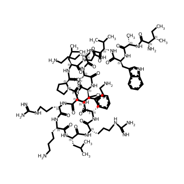 CC[C@H](C)[C@H](N)C(=O)N[C@@H](C)C(=O)N[C@@H](Cc1c[nH]c2ccccc12)C(=O)N[C@H](C(=O)N[C@@H](CCCCN)C(=O)N[C@@H](C)C(=O)N[C@@H](Cc1ccccc1)C(=O)N[C@H](C(=O)N[C@@H](CCCNC(=N)N)C(=O)N[C@@H](CCCCN)C(=O)N[C@@H](CC(C)C)C(=O)N[C@@H](CCCNC(=N)N)C(=O)N[C@@H](CCCCN)C(=O)NCC(=O)N1CCC[C@H]1C(=O)N[C@@H](CC(C)C)C(=O)NCC(=O)O)[C@@H](C)CC)C(C)C